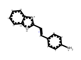 Nc1ccc(/C=C/c2nc3ccccc3o2)cc1